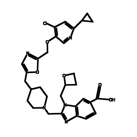 O=C(O)c1ccc2nc(CN3CCC(Cc4cnc(COc5cnc(C6CC6)cc5Cl)o4)CC3)n(CC3CCO3)c2c1